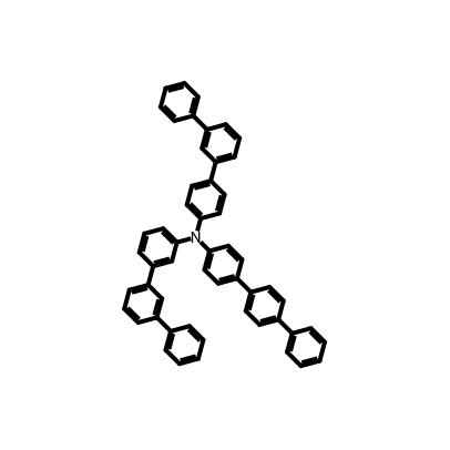 c1ccc(-c2ccc(-c3ccc(N(c4ccc(-c5cccc(-c6ccccc6)c5)cc4)c4cccc(-c5cccc(-c6ccccc6)c5)c4)cc3)cc2)cc1